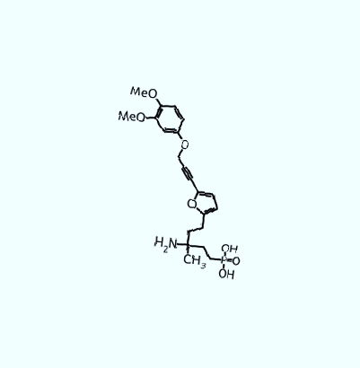 COc1ccc(OCC#Cc2ccc(CCC(C)(N)CCP(=O)(O)O)o2)cc1OC